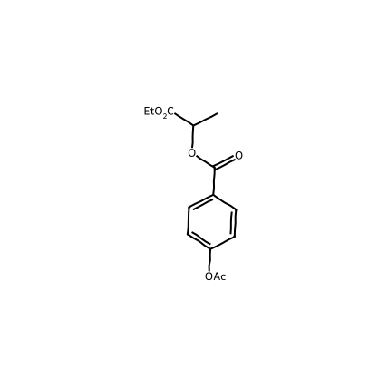 CCOC(=O)C(C)OC(=O)c1ccc(OC(C)=O)cc1